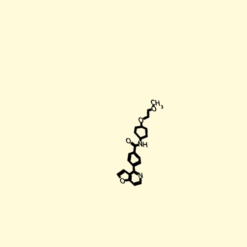 COCCOC1CCC(NC(=O)c2ccc(-c3nccc4occc34)cc2)CC1